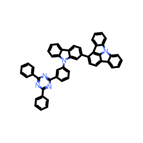 c1ccc(-c2nc(-c3ccccc3)nc(-c3cccc(-n4c5ccccc5c5ccc(-c6ccc7c8ccccc8n8c9ccccc9c6c78)cc54)c3)n2)cc1